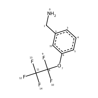 NCc1cccc(OC(F)(F)C(F)(F)F)c1